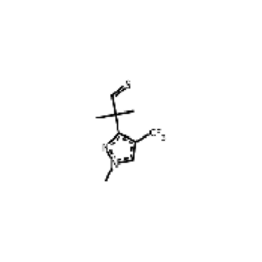 Cn1cc(C(F)(F)F)c(C(C)(C)C=S)n1